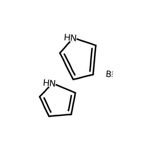 [B].c1cc[nH]c1.c1cc[nH]c1